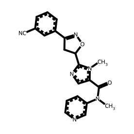 CN(C(=O)c1cnc(C2CC(c3cccc(C#N)c3)=NO2)n1C)c1cccnc1